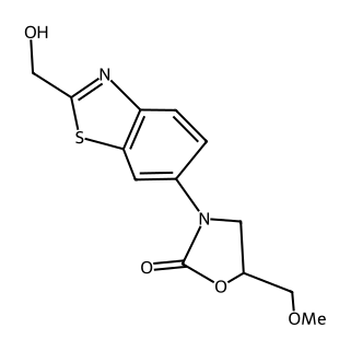 COCC1CN(c2ccc3nc(CO)sc3c2)C(=O)O1